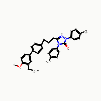 CCOc1ccc(-c2ccc(CCCc3nn(-c4ccc(C(F)(F)F)cc4)c(=O)n3-c3ccc(C(F)(F)F)cc3)cc2)cc1CC(=O)O